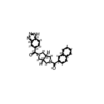 O=C(c1ccc2ccccc2c1)N1C[C@@H]2CN(C(=O)c3ccc4[nH]nnc4c3)C[C@H]2C1